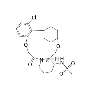 CS(=O)(=O)NC1CCCN2C(=O)COc3cccc(Cl)c3C3CCC(CC3)OC[C@@H]12